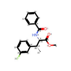 COC(=O)[C@@H](NC(=O)c1ccccc1)[C@H](C)c1cccc(F)c1